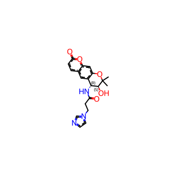 CC1(C)Oc2cc3oc(=O)ccc3cc2[C@@H](NC(=O)CCn2ccnc2)[C@@H]1O